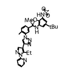 CCc1c(-c2cn(-c3cc(C(=O)Nc4cc(C(C)(C)C)cc(NS(C)(=O)=O)c4OC)ccc3C)nn2)cnn1-c1ccccn1